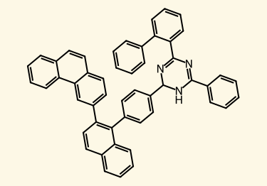 c1ccc(C2=NC(c3ccccc3-c3ccccc3)=NC(c3ccc(-c4c(-c5ccc6ccc7ccccc7c6c5)ccc5ccccc45)cc3)N2)cc1